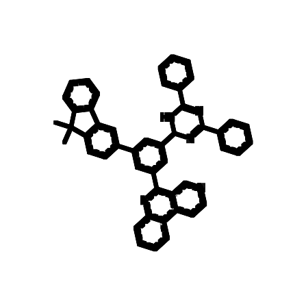 CC1(C)c2ccccc2-c2cc(-c3cc(-c4nc5ccccc5c5ccncc45)cc(C4N=C(c5ccccc5)N=C(c5ccccc5)N4)c3)ccc21